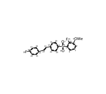 COc1cccc(S(=O)(=O)c2ccc(/C=C/c3ccc(F)cc3)cc2)c1F